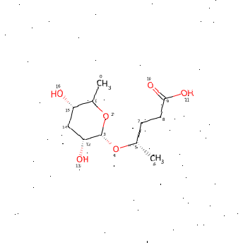 CC1O[C@H](O[C@@H](C)CCC(=O)O)[C@H](O)C[C@@H]1O